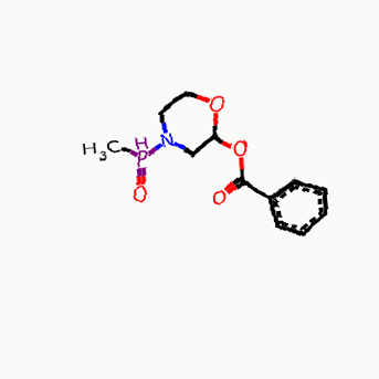 C[PH](=O)N1CCOC(OC(=O)c2ccccc2)C1